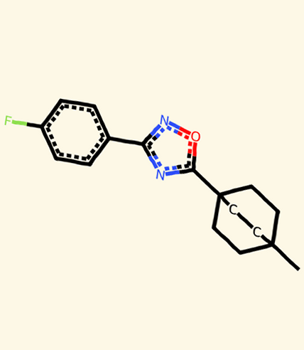 CC12CCC(c3nc(-c4ccc(F)cc4)no3)(CC1)CC2